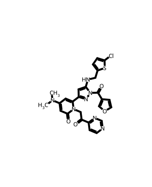 CN(C)c1cc(-c2cc(NCc3ccc(Cl)s3)n(C(=O)c3ccoc3)n2)n(CC(=O)c2ccncn2)c(=O)c1